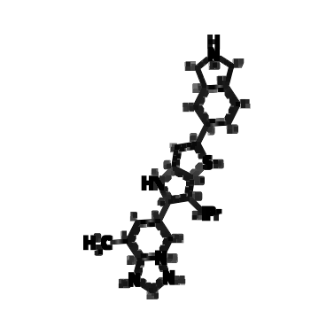 Cc1cc(-c2[nH]c3cc(-c4ccc5c(c4)CNC5)sc3c2C(C)C)cn2ncnc12